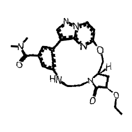 CCO[C@@H]1C[C@H]2COc3ccn4ncc(c4n3)-c3cc(cc(C(=O)N(C)C)c3)NCCN2C1=O